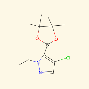 CCn1ncc(Cl)c1B1OC(C)(C)C(C)(C)O1